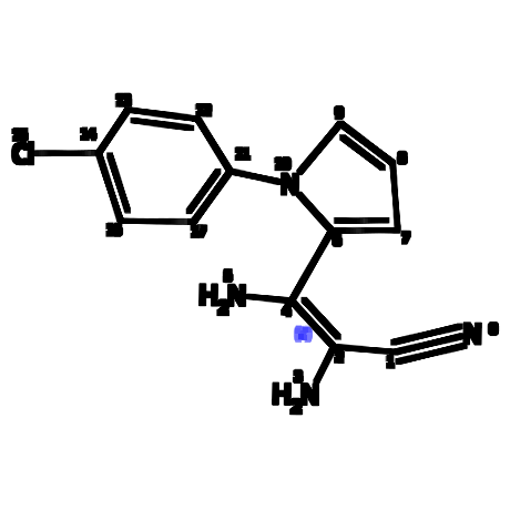 N#C/C(N)=C(/N)c1cccn1-c1ccc(Cl)cc1